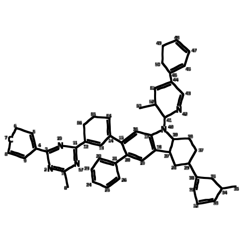 Cc1nc(C2=CCCC=C2)nc(C2=CC(c3cc4c(cc3-c3ccccc3)C3CC(C5=CC=CC(C)C5)CCC3N4C3N=CC(C4=CC=CCC4)=CC3C)=CCC2)n1